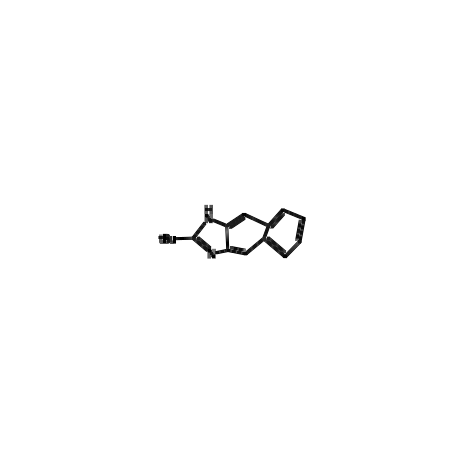 CC(C)(C)c1nc2cc3ccccc3cc2[nH]1